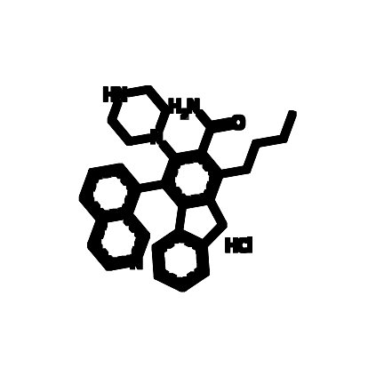 CCCCc1c2c(c(-c3cccc4ccncc34)c(N3CCNCC3)c1C(N)=O)-c1ccccc1C2.Cl